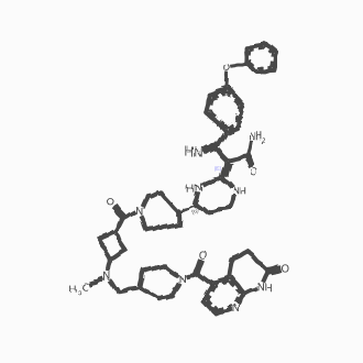 CN(CC1CCN(C(=O)c2ccnc3c2CCC(=O)N3)CC1)C1CC(C(=O)N2CCC([C@@H]3CCN/C(=C(/C(=N)c4ccc(Oc5ccccc5)cc4)C(N)=O)N3)CC2)C1